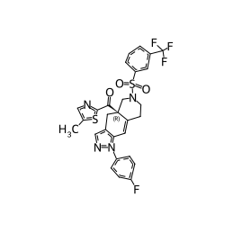 Cc1cnc(C(=O)[C@]23Cc4cnn(-c5ccc(F)cc5)c4C=C2CCN(S(=O)(=O)c2cccc(C(F)(F)F)c2)C3)s1